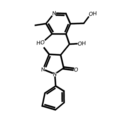 CC1=NN(c2ccccc2)C(=O)C1C(O)c1c(CO)cnc(C)c1O